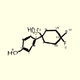 O=C(O)C1(c2ccc(O)cc2)CCC(F)(F)CC1